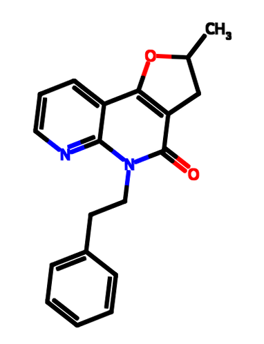 CC1Cc2c(c3cccnc3n(CCc3ccccc3)c2=O)O1